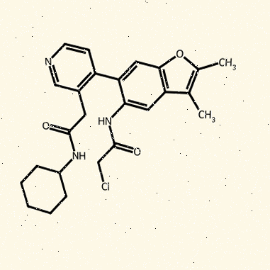 Cc1oc2cc(-c3ccncc3CC(=O)NC3CCCCC3)c(NC(=O)CCl)cc2c1C